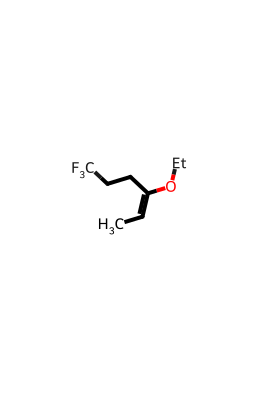 [CH2]COC(=CC)CCC(F)(F)F